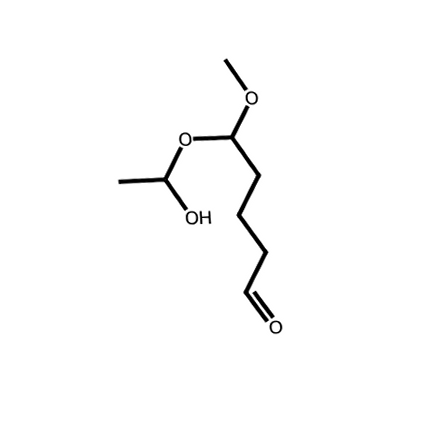 COC(CCCC=O)OC(C)O